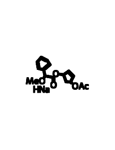 COC(C(=O)OC1C=CC(OC(C)=O)C1)c1ccccc1.[NaH]